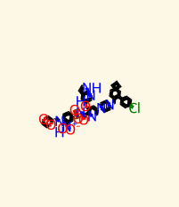 O=C(NS(=O)(=O)c1ccc(NC[C@H]2COCCO2)c([N+](=O)[O-])c1)c1ncc(N2CCN(CC3=C(c4ccc(Cl)cc4)CC4(CCC4)CC3)CC2)cc1Oc1cnc2[nH]ccc2c1